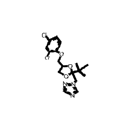 CC(C)(C)C1(Cn2cncn2)OCC(COc2ccc(Cl)cc2Cl)O1